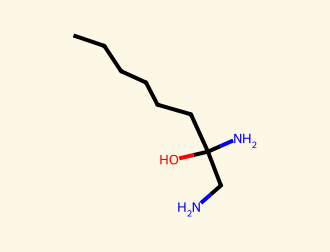 CCCCCCC(N)(O)CN